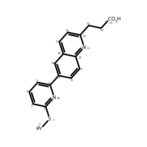 CC(C)Sc1cccc(-c2ccc3nc(CCC(=O)O)ccc3c2)n1